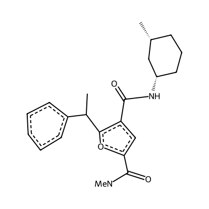 CNC(=O)c1cc(C(=O)N[C@H]2CCC[C@@H](C)C2)c(C(C)c2ccccc2)o1